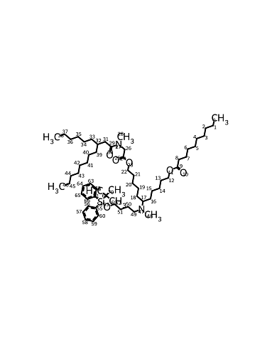 CCCCCCCCCC(=O)OCCCCCC(CCCCCOC(=O)CN(C)C(=O)CC(CCCCCC)CCCCCCCC)N(C)CCCCO[Si](c1ccccc1)(c1ccccc1)C(C)(C)C